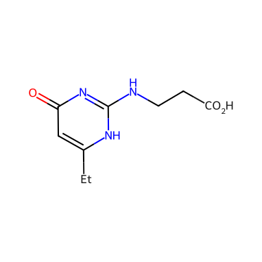 CCc1cc(=O)nc(NCCC(=O)O)[nH]1